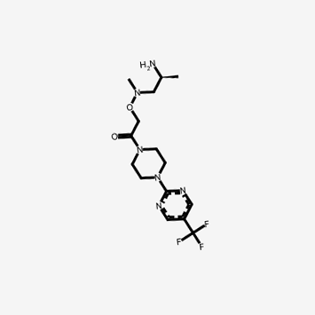 C[C@H](N)CN(C)OCC(=O)N1CCN(c2ncc(C(F)(F)F)cn2)CC1